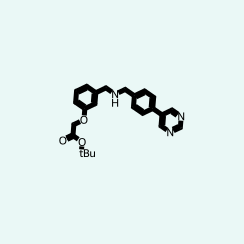 CC(C)(C)OC(=O)COc1cccc(CNCc2ccc(-c3cncnc3)cc2)c1